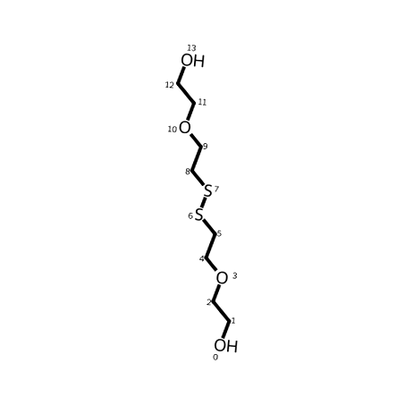 OCCOCCSSCCOCCO